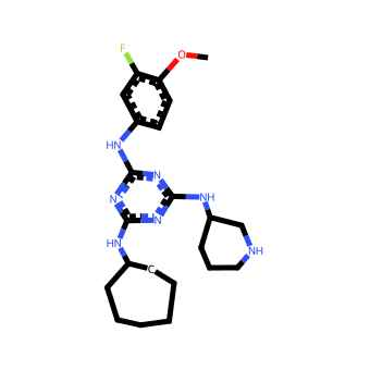 COc1ccc(Nc2nc(NC3CCCCCC3)nc(NC3CCCNC3)n2)cc1F